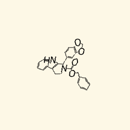 O=C(OCc1ccccc1)N1CCc2c([nH]c3ccccc23)C1c1ccc2c(c1)OCO2